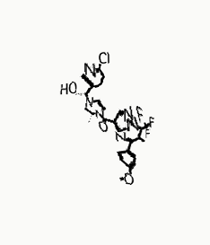 COc1ccc(-c2nc3c(C(=O)N4CCN([C@H](CO)c5ccc(Cl)nc5)C[C@H]4C)cnn3c(C(F)(F)F)c2C)cc1